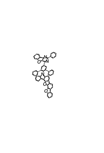 c1ccc(-c2nc(-c3cc(-c4ccccc4)c(-n4c5ccccc5c5c6oc7c(ccc8c9ccccc9oc87)c6ccc54)c(-c4ccccc4)c3)c3oc4ccccc4c3n2)cc1